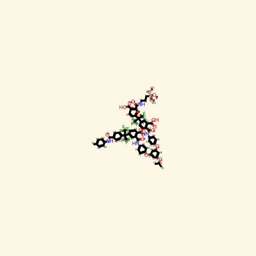 CO[Si](CCCNC(=O)c1cc(C(c2ccc(C(=O)Nc3ccc(Oc4cc(Oc5ccc(NC(=O)c6cc(C(c7ccc(C(=O)Nc8ccc(C)cc8)cc7)(C(F)(F)F)C(F)(F)F)ccc6C(=O)O)cc5)cc(OC(C)C)c4)cc3)c(C(=O)O)c2)(C(F)(F)F)C(F)(F)F)ccc1C(=O)O)(OC)OC